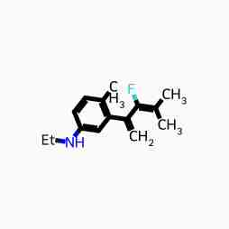 C=C(C(F)=C(C)C)c1cc(NCC)ccc1C